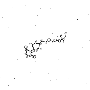 CCC(C)(C)OOCOCCc1ccc(N2C(=O)C=CC2=O)cc1